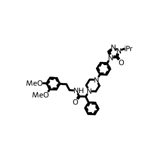 COc1ccc(CCNC(=O)C(c2ccccc2)N2CCN(c3ccc(-n4cnn(C(C)C)c4=O)cc3)CC2)cc1OC